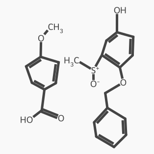 COc1ccc(C(=O)O)cc1.C[S+]([O-])c1cc(O)ccc1OCc1ccccc1